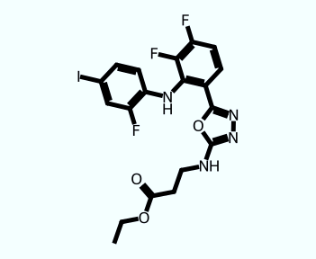 CCOC(=O)CCNc1nnc(-c2ccc(F)c(F)c2Nc2ccc(I)cc2F)o1